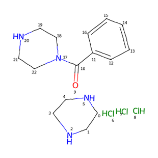 C1CNCCN1.Cl.Cl.Cl.O=C(c1ccccc1)N1CCNCC1